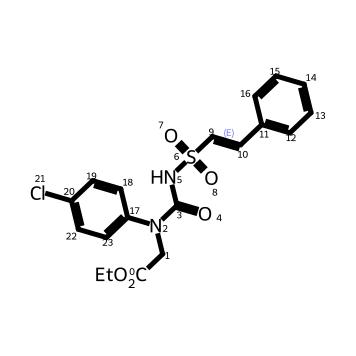 CCOC(=O)CN(C(=O)NS(=O)(=O)/C=C/c1ccccc1)c1ccc(Cl)cc1